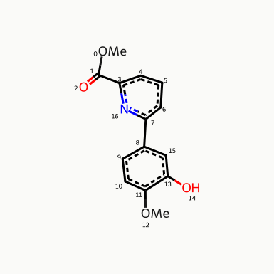 COC(=O)c1cccc(-c2ccc(OC)c(O)c2)n1